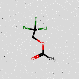 CC(=O)OCC(F)(F)Cl